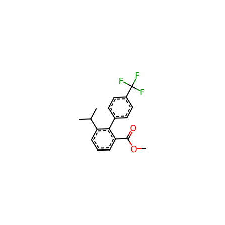 COC(=O)c1cccc(C(C)C)c1-c1ccc(C(F)(F)F)cc1